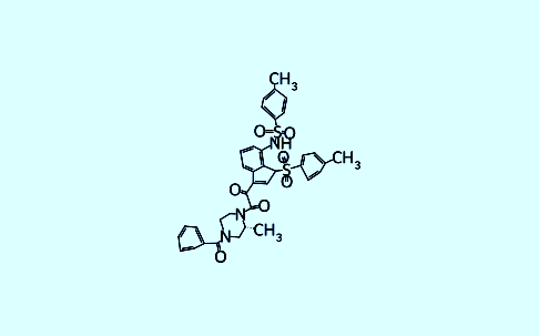 Cc1ccc(S(=O)(=O)Nc2cccc3c2C(S(=O)(=O)c2ccc(C)cc2)C=C3C(=O)C(=O)N2CCN(C(=O)c3ccccc3)C[C@H]2C)cc1